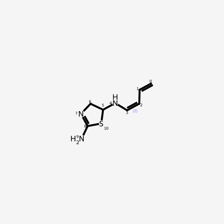 C=C/C=C\NC1CN=C(N)S1